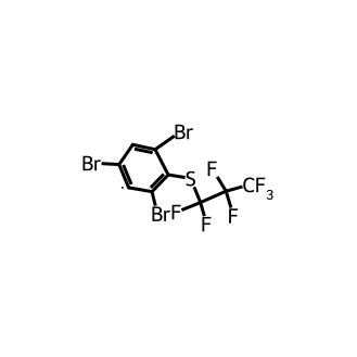 FC(F)(F)C(F)(F)C(F)(F)Sc1c(Br)[c]c(Br)cc1Br